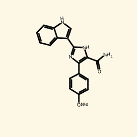 COc1ccc(-c2nc(-c3c[nH]c4ccccc34)[nH]c2C(N)=O)cc1